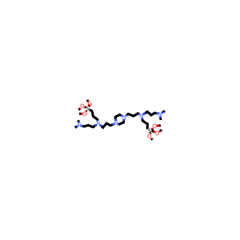 CO[Si](CCCN(CCCN(C)C)CCCN1CCN(CCCN(CCCN(C)C)CCC[Si](OC)(OC)OC)CC1)(OC)OC